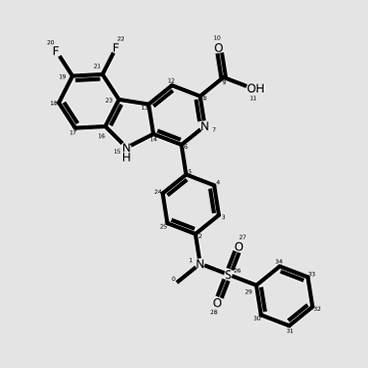 CN(c1ccc(-c2nc(C(=O)O)cc3c2[nH]c2ccc(F)c(F)c23)cc1)S(=O)(=O)c1ccccc1